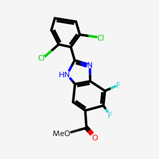 COC(=O)c1cc2[nH]c(-c3c(Cl)cccc3Cl)nc2c(F)c1F